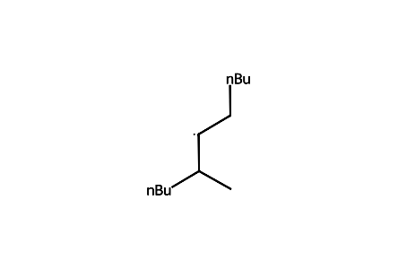 CCCCC[CH]C(C)CCCC